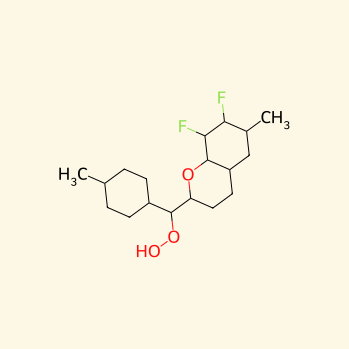 CC1CCC(C(OO)C2CCC3CC(C)C(F)C(F)C3O2)CC1